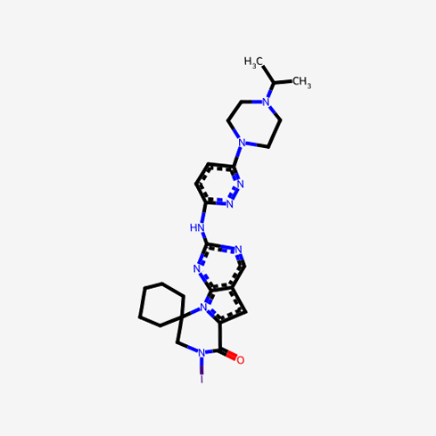 CC(C)N1CCN(c2ccc(Nc3ncc4cc5n(c4n3)C3(CCCCC3)CN(I)C5=O)nn2)CC1